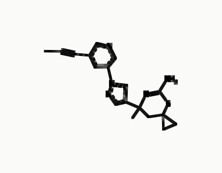 CC#Cc1cncc(-n2cc(C3(C)CC4(CC4)SC(N)=N3)cn2)c1